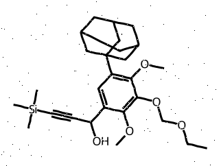 CCOCOc1c(OC)c(C(O)C#C[Si](C)(C)C)cc(C23CC4CC(CC(C4)C2)C3)c1OC